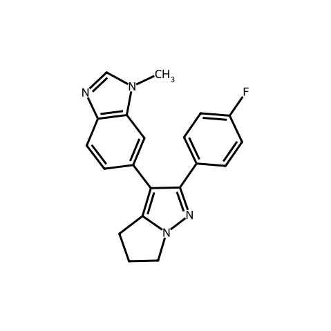 Cn1cnc2ccc(-c3c(-c4ccc(F)cc4)nn4c3CCC4)cc21